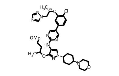 COCCC(C)Oc1nn([C@H]2CC[C@H](N3CCOCC3)CC2)cc1Nc1ncc(-c2ccc(Cl)c(O[C@@H](C)Cn3cncn3)c2)cn1